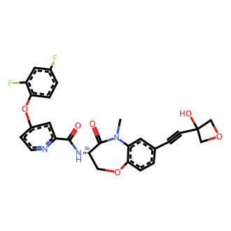 CN1C(=O)[C@@H](NC(=O)c2cc(Oc3ccc(F)cc3F)ccn2)COc2ccc(C#CC3(O)COC3)cc21